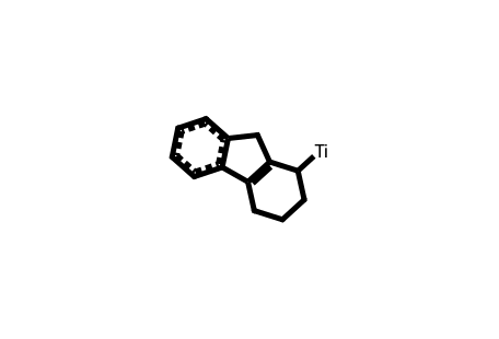 [Ti][CH]1CCCC2=C1Cc1ccccc12